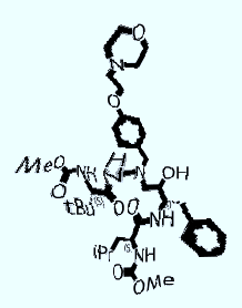 COC(=O)N[C@@H](CC(C)C)C(=O)N[C@@H](Cc1ccccc1)C(O)CN(Cc1ccc(OCCN2CCOCC2)cc1)NC(=O)[C@@H](NC(=O)OC)C(C)(C)C